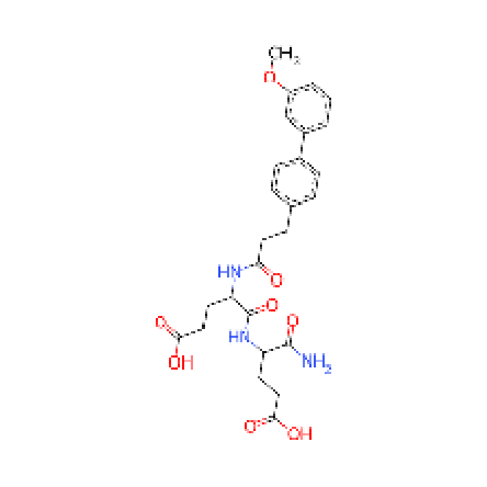 COc1cccc(-c2ccc(CCC(=O)NC(CCC(=O)O)C(=O)NC(CCC(=O)O)C(N)=O)cc2)c1